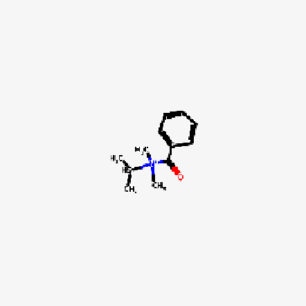 C[SiH](C)[N+](C)(C)C(=O)c1ccccc1